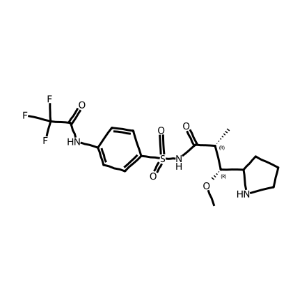 CO[C@@H](C1CCCN1)[C@@H](C)C(=O)NS(=O)(=O)c1ccc(NC(=O)C(F)(F)F)cc1